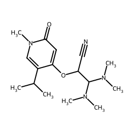 CC(C)c1cn(C)c(=O)cc1OC(C#N)C(N(C)C)N(C)C